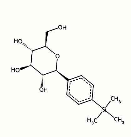 C[Si](C)(C)c1ccc([C@@H]2O[C@H](CO)[C@@H](O)[C@H](O)[C@H]2O)cc1